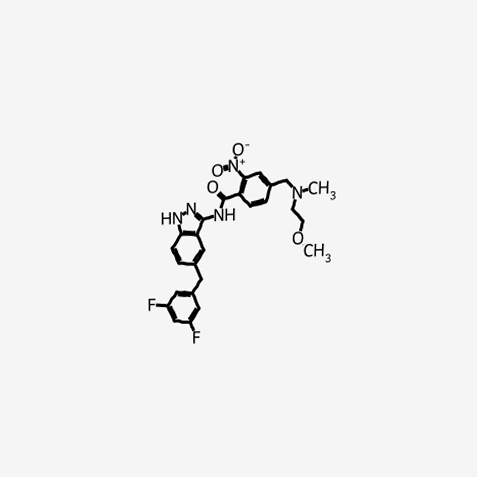 COCCN(C)Cc1ccc(C(=O)Nc2n[nH]c3ccc(Cc4cc(F)cc(F)c4)cc23)c([N+](=O)[O-])c1